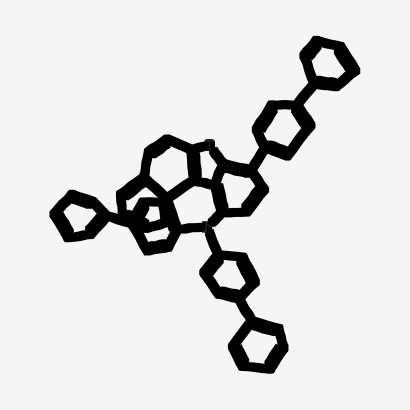 c1ccc(-c2ccc(-c3ccc(N(c4ccc(-c5ccccc5)cc4)c4ccc(-c5ccccc5)cc4)c4c3oc3ccc5ccccc5c34)cc2)cc1